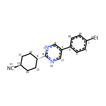 CCc1ccc(-c2cnc([C@H]3CC[C@H](C#N)CC3)nc2)cc1